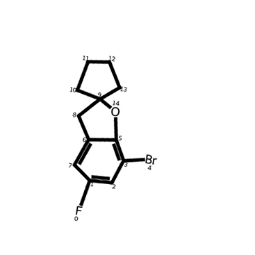 Fc1cc(Br)c2c(c1)CC1(CCCC1)O2